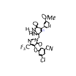 COc1cncc(/C(=C/C(=N)Cn2cnc(C(F)(F)F)c(Oc3cc(Cl)cc(C#N)c3)c2=O)C(N)=O)c1